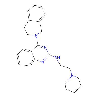 c1ccc2c(c1)CCN(c1nc(NCCN3CCCCC3)nc3ccccc13)C2